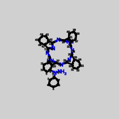 NN(c1ccccc1)c1cccc2c3nc4nc(nc5[nH]c(nc6nc(nc([nH]3)c12)-c1ccccc1-6)c1ccccc51)-c1ccccc1-4